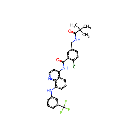 CC(C)(C)C(=O)NCc1ccc(Cl)c(C(=O)Nc2ccnc3c(Nc4cccc(C(F)(F)F)c4)cccc23)c1